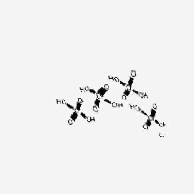 [Cu].[O]=[Cr](=[O])([OH])[OH].[O]=[Cr](=[O])([OH])[OH].[O]=[Cr](=[O])([OH])[OH].[O]=[Cr](=[O])([OH])[OH]